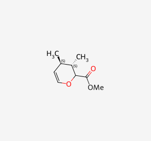 COC(=O)C1OC=C[C@@H](C)[C@@H]1C